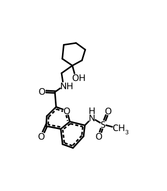 CS(=O)(=O)Nc1cccc2c(=O)cc(C(=O)NCC3(O)CCCCC3)oc12